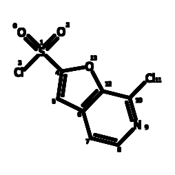 O=S(=O)(Cl)c1cc2ccnc(Cl)c2o1